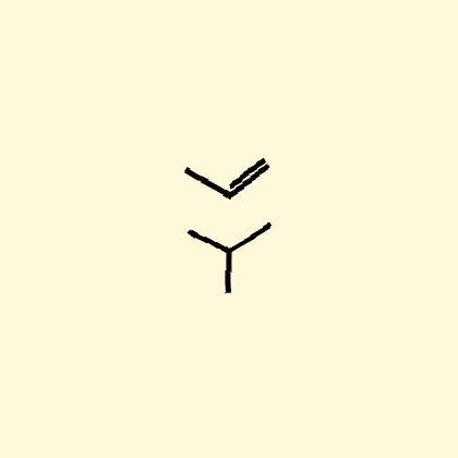 C=CC.CC(C)C